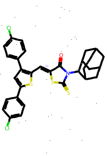 O=C1/C(=C/c2sc(-c3ccc(Cl)cc3)cc2-c2ccc(Cl)cc2)SC(=S)N1C1C2CC3CC(C2)CC1C3